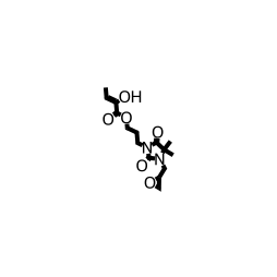 CC=C(O)C(=O)OCCCN1C(=O)N(CC2CO2)C(C)(C)C1=O